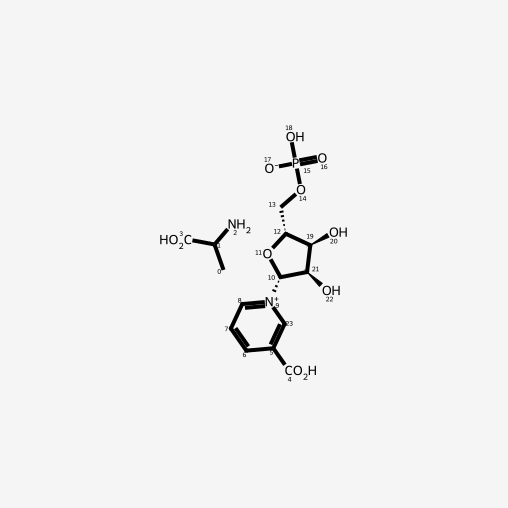 CC(N)C(=O)O.O=C(O)c1ccc[n+]([C@@H]2O[C@H](COP(=O)([O-])O)[C@@H](O)[C@H]2O)c1